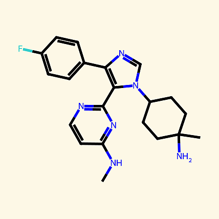 CNc1ccnc(-c2c(-c3ccc(F)cc3)ncn2C2CCC(C)(N)CC2)n1